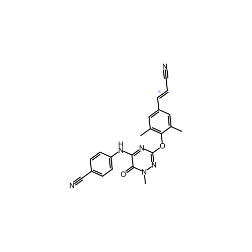 Cc1cc(/C=C/C#N)cc(C)c1Oc1nc(Nc2ccc(C#N)cc2)c(=O)n(C)n1